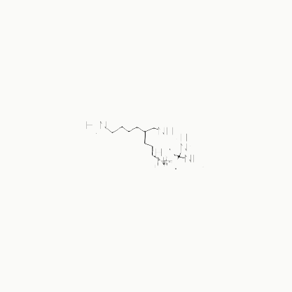 CCCCCCCCC(N)(N)N.NCCCCC(CN)CCCN